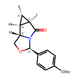 COc1ccc([C@H]2OC[C@@H]3[C@H]4[C@H](C)[C@@]4(F)C(=O)N23)cc1